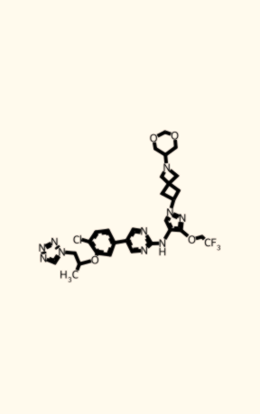 CC(Cn1cnnn1)Oc1cc(-c2cnc(Nc3cn(C4CC5(C4)CN(C4COCOC4)C5)nc3OCC(F)(F)F)nc2)ccc1Cl